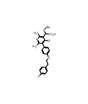 Cc1nc(C)c(C(OC(C)(C)C)C(=O)O)c(Cl)c1-c1ccc(OCCc2ccc(F)cc2)cc1